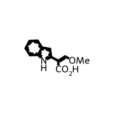 COC=C(C(=O)O)c1cc2ccccc2[nH]1